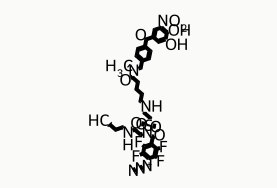 C#CCCNC(=O)CN(C(=O)c1c(F)c(F)c(N=[N+]=[N-])c(F)c1F)S(=O)(=O)CCNCCCCC(=O)N(C)Cc1ccc(C(=O)c2cc(O)c(O)c([N+](=O)[O-])c2)cc1